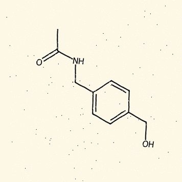 CC(=O)N[CH]c1ccc(CO)cc1